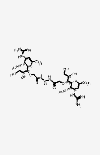 CC(=O)N[C@H]1[C@H]([C@H](OCC(=O)NBNC(=O)CO[C@@H]([C@@H]2OC(C(=O)O)=C[C@H](NC(=N)N)[C@H]2NC(C)=O)[C@H](O)CO)[C@H](O)CO)OC(C(=O)O)=C[C@@H]1NC(=N)N